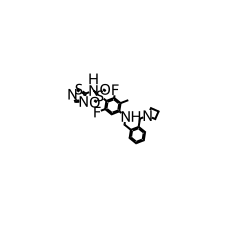 Cc1c(NCc2ccccc2CN2CCC2)cc(F)c(S(=O)(=O)Nc2ncns2)c1F